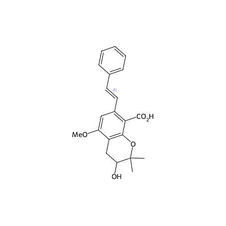 COc1cc(/C=C/c2ccccc2)c(C(=O)O)c2c1CC(O)C(C)(C)O2